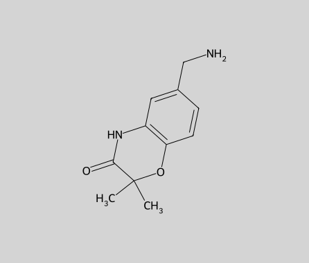 CC1(C)Oc2ccc(CN)cc2NC1=O